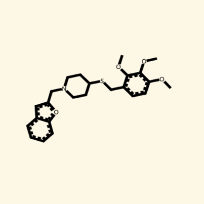 COc1ccc(CSC2CCN(Cc3cc4ccccc4o3)CC2)c(OC)c1OC